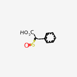 O=S=C(C(=O)O)c1ccccc1